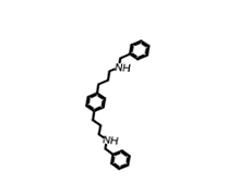 c1ccc(CNCCCc2ccc(CCCNCc3ccccc3)cc2)cc1